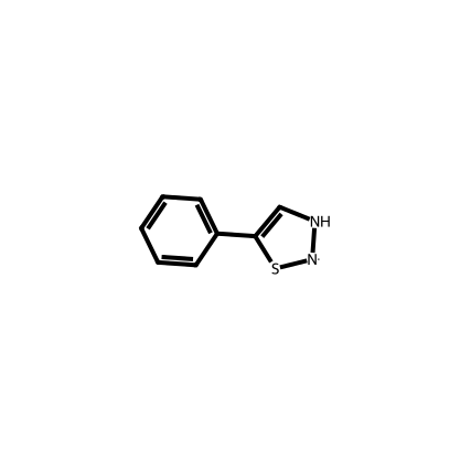 C1=C(c2ccccc2)S[N]N1